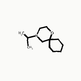 CC(C)N1CCOC2(CCCCC2)C1